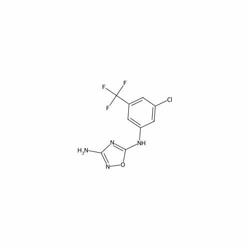 Nc1noc(Nc2cc(Cl)cc(C(F)(F)F)c2)n1